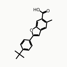 Cc1cc2cc(-c3ccc(C(C)(C)C)cc3)oc2cc1C(=O)O